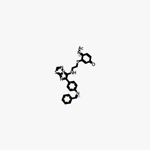 CC(=O)/N=C1\C=CC(=O)C=C1SCCNc1c(-c2ccc(/N=C\c3ccccc3)cc2)nc2scnn12